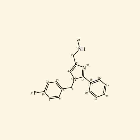 CNCc1cn(Cc2ccc(F)cc2)c(-c2ccccc2)n1